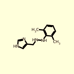 Cc1cccc(C)c1NNCc1c[nH]cn1